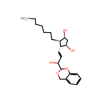 O=C(O)CCCCCC[C@@H]1[C@@H](/C=C/[C@H](O)[C@@H]2OCc3ccccc3O2)[C@H](O)C[C@@H]1O